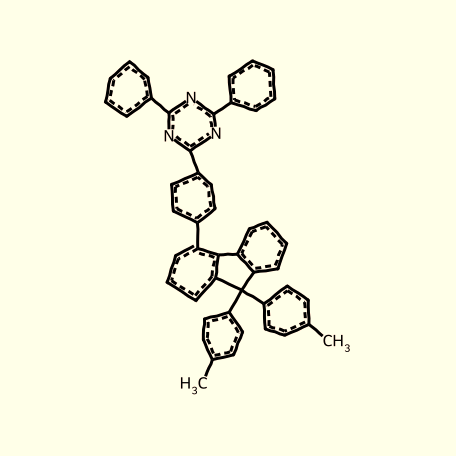 Cc1ccc(C2(c3ccc(C)cc3)c3ccccc3-c3c(-c4ccc(-c5nc(-c6ccccc6)nc(-c6ccccc6)n5)cc4)cccc32)cc1